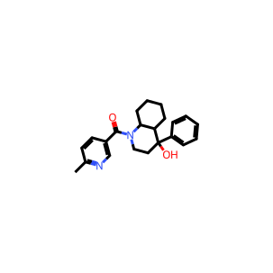 Cc1ccc(C(=O)N2CCC(O)(c3ccccc3)C3CCCCC32)cn1